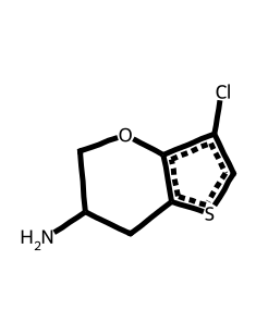 NC1COc2c(Cl)csc2C1